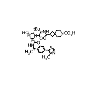 Cc1ncsc1-c1ccc([C@H](C)NC(=O)[C@@H]2C[C@@H](O)CN2C(=O)[C@@H](NC(=O)C2CC3(CCN(C(=O)O)CC3)C2)C(C)(C)C)cc1